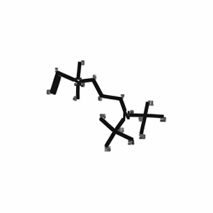 C=C[Si](C)(C)CCCN(C(C)(C)C)C(C)(C)C